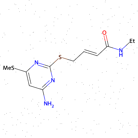 CCNC(=O)C=CCSc1nc(N)cc(SC)n1